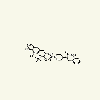 CC(C)(C)OC(=O)C(Cc1cc(Cl)c2[nH]ncc2c1)NC(=O)N1CCC(N2Cc3ccccc3NC2=O)CC1